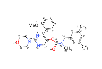 COc1ccccc1-c1nc(N2CCOCC2)ncc1OC(=O)N(C)Cc1cc(C(F)(F)F)cc(C(F)(F)F)c1